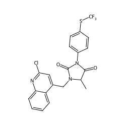 CC1C(=O)N(c2ccc(SC(F)(F)F)cc2)C(=O)N1Cc1cc(Cl)nc2ccccc12